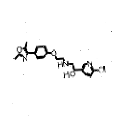 Cc1nc(-c2ccc(OCCNC[C@H](O)c3ccc(Cl)nc3)cc2)c(C)o1